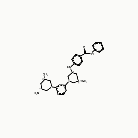 N[C@@H]1C[C@H](N)CN(c2ncnc(N3C[C@H](N)C[C@H](Nc4ccc(C(=O)Nc5ccccc5)cc4)C3)n2)C1